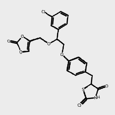 O=C1NC(=O)C(Cc2ccc(OCC(OCc3coc(=O)o3)c3cccc(Cl)c3)cc2)S1